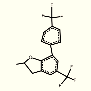 [CH2]C1Cc2cc(C(F)(F)F)cc(-c3ccc(C(F)(F)F)cc3)c2O1